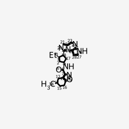 CC[C@@H]1C[C@H](NC(=O)c2noc3c2CC(C)CC3)C[C@@H]1c1ncc2cnc3[nH]ccc3n12